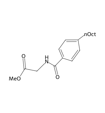 CCCCCCCCc1ccc(C(=O)NCC(=O)OC)cc1